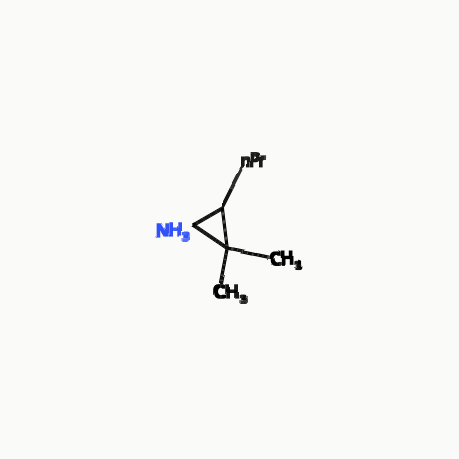 CCCC1CC1(C)C.N